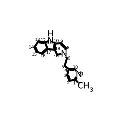 Cc1ccc(CCN2C=Cc3[nH]c4ccccc4c3C2)cn1